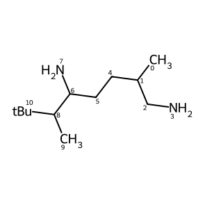 CC(CN)CCC(N)C(C)C(C)(C)C